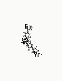 CCCN1CC[C@@H](c2ccc(NS(=O)(=O)c3ccc(C(CF)CF)cc3)cc2)C1